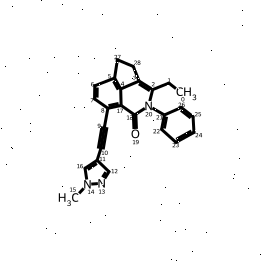 CCc1c2c3c(ccc(C#Cc4cnn(C)c4)c3c(=O)n1-c1ccccc1)CC2